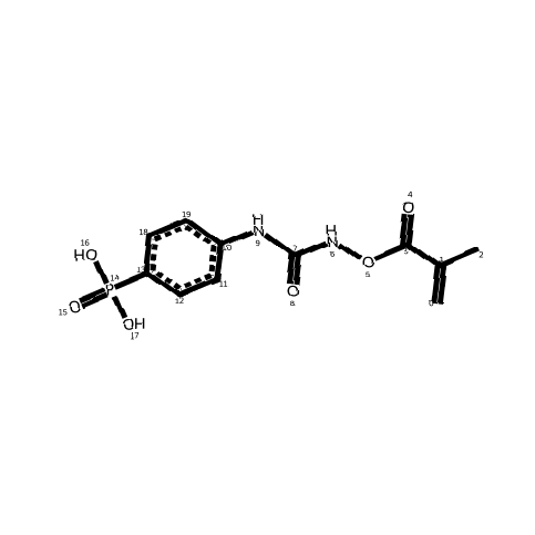 C=C(C)C(=O)ONC(=O)Nc1ccc(P(=O)(O)O)cc1